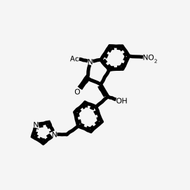 CC(=O)N1C(=O)C(=C(O)c2ccc(Cn3ccnc3)cc2)c2cc([N+](=O)[O-])ccc21